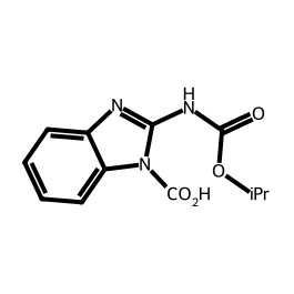 CC(C)OC(=O)Nc1nc2ccccc2n1C(=O)O